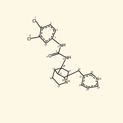 O=C(Nc1ccc(Cl)c(Cl)c1)NC1C2CCN(CC2)C1Cc1cccnc1